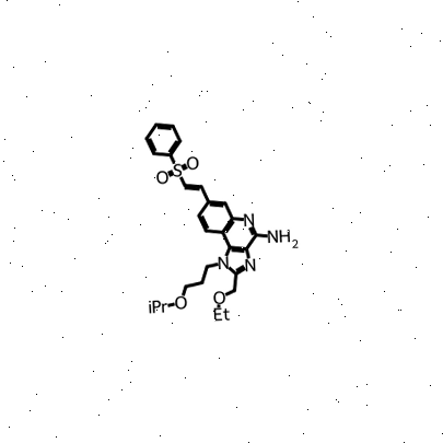 CCOCc1nc2c(N)nc3cc(/C=C/S(=O)(=O)c4ccccc4)ccc3c2n1CCCOC(C)C